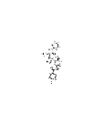 C[C@@]1(c2cc(NC(=S)c3ccc(Cl)cn3)ccc2F)CO[C@@H](Cc2ccccc2)C(N)=N1